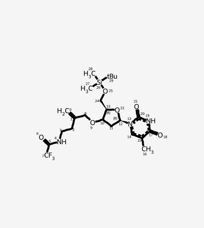 C=C(CCNC(=O)C(F)(F)F)COC1C[C@H](n2cc(C)c(=O)[nH]c2=O)O[C@@H]1CO[Si](C)(C)C(C)(C)C